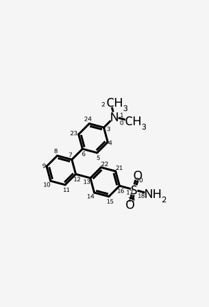 CN(C)c1ccc(-c2ccccc2-c2ccc(S(N)(=O)=O)cc2)cc1